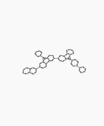 c1ccc(-c2ccc(-n3c4ccccc4c4cc(-c5ccc6c(c5)c5ccc(-c7ccc8ccccc8c7)cc5n6-c5ccccc5)ccc43)cc2)cc1